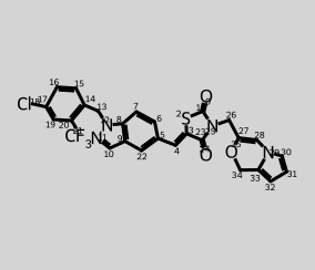 O=C1S/C(=C\c2ccc3c(cnn3Cc3ccc(Cl)cc3C(F)(F)F)c2)C(=O)N1CC1=Cn2cccc2CO1